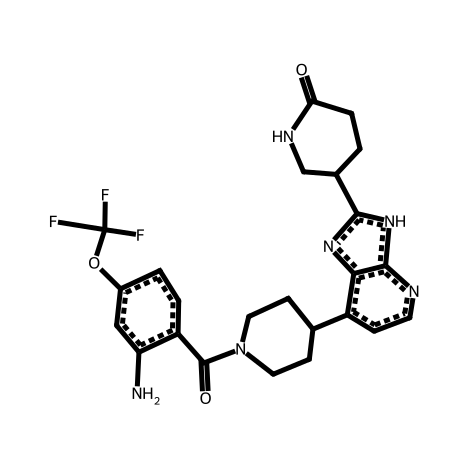 Nc1cc(OC(F)(F)F)ccc1C(=O)N1CCC(c2ccnc3[nH]c(C4CCC(=O)NC4)nc23)CC1